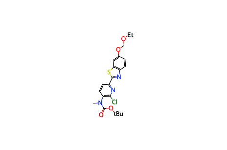 CCOCOc1ccc2nc(-c3ccc(N(C)C(=O)OC(C)(C)C)c(Cl)n3)sc2c1